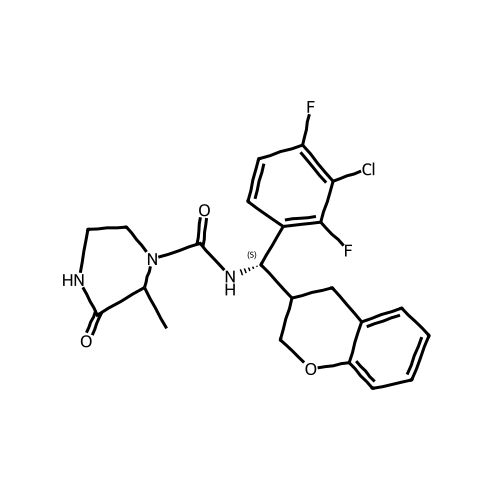 CC1C(=O)NCCN1C(=O)N[C@H](c1ccc(F)c(Cl)c1F)C1COc2ccccc2C1